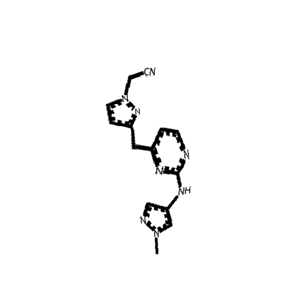 Cn1cc(Nc2nccc(Cc3ccn(CC#N)n3)n2)cn1